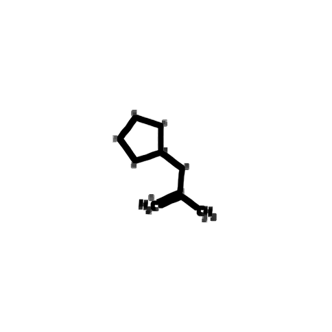 C=C(C)CC1CCCC1